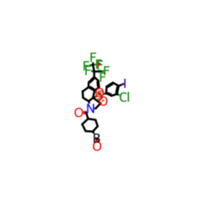 O=BC1CCC(C(=O)N2CCC3(S(=O)(=O)c4ccc(I)c(Cl)c4)c4ccc(C(F)(C(F)(F)F)C(F)(F)F)cc4CCC23)CC1